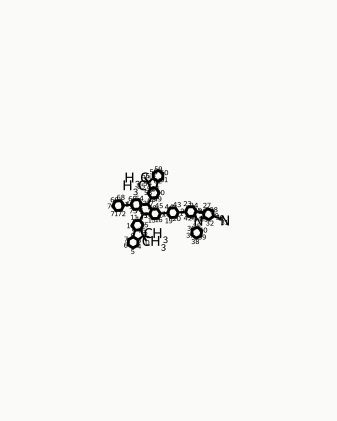 CC1(C)c2ccccc2-c2ccc(-c3c4ccc(-c5ccc(-c6ccc7c8ccc(C#N)cc8n(-c8ccccc8)c7c6)cc5)cc4c(-c4ccc5c(c4)C(C)(C)c4ccccc4-5)c4ccc(-c5ccccc5)cc34)cc21